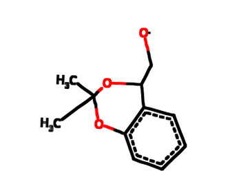 CC1(C)Oc2ccccc2C(C[O])O1